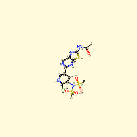 CC(=O)Nc1nc2cnc(-c3cnc(Cl)c(N(S(C)(=O)=O)S(C)(=O)=O)c3)nc2s1